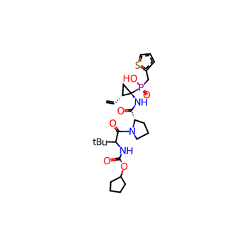 C=C[C@@H]1C[C@]1(NC(=O)[C@@H]1CCCN1C(=O)C(NC(=O)OC1CCCC1)C(C)(C)C)P(=O)(O)Cc1cccs1